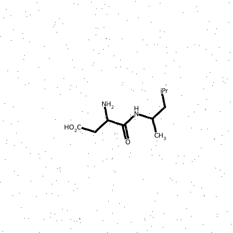 CC(C)CC(C)NC(=O)C(N)CC(=O)O